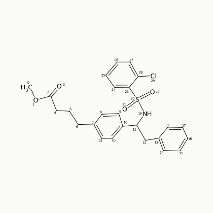 COC(=O)CCCc1ccc(C(Cc2ccccc2)NS(=O)(=O)c2ccccc2Cl)cc1